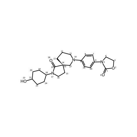 O=C1OCCN1c1ccc(N2CCC[C@]3(CCN(C4CCC(O)CC4)C3=O)C2)cc1